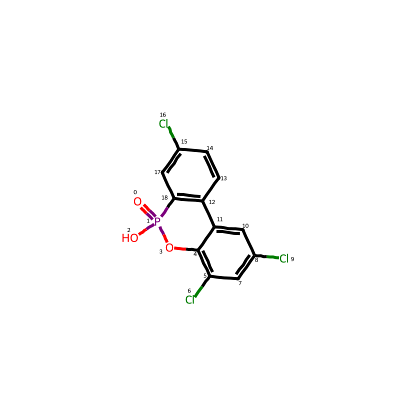 O=P1(O)Oc2c(Cl)cc(Cl)cc2-c2ccc(Cl)cc21